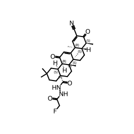 C[C@@H]1C(=O)C(C#N)=C[C@]2(C)C3=CC(=O)[C@@H]4[C@@H]5CC(C)(C)CC[C@]5(C(=O)NNC(=O)CF)CC[C@@]4(C)[C@]3(C)CC[C@@H]12